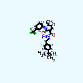 Cc1ccc(C(=O)NCCc2ccc(C(C)(C)C)cc2)c(=O)n1-c1cccc(C(F)(F)F)c1